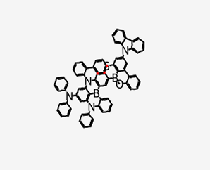 c1ccc(-c2ccccc2N2c3cc4c(cc3B3c5ccccc5N(c5ccccc5)c5cc(N(c6ccccc6)c6ccccc6)cc2c53)B2Oc3ccccc3-c3cc(-n5c6ccccc6c6ccccc65)cc(c32)S4)cc1